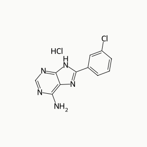 Cl.Nc1ncnc2[nH]c(-c3cccc(Cl)c3)nc12